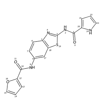 O=C(Nc1nc2ccc(NC(=O)c3ccco3)cc2s1)c1ccc[nH]1